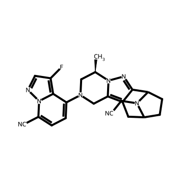 C[C@@H]1CN(c2ccc(C#N)n3ncc(F)c23)Cc2c3c(nn21)C1CCC(C3)N1CC#N